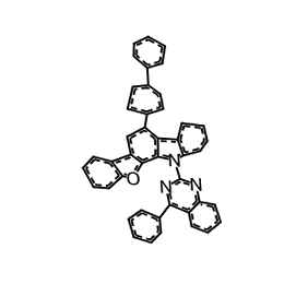 c1ccc(-c2ccc(-c3cc4c5ccccc5oc4c4c3c3ccccc3n4-c3nc(-c4ccccc4)c4ccccc4n3)cc2)cc1